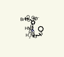 CC(N)(CN/C=C(/COc1ccc([N+](=O)[O-])c(COC(=O)C(C)(C)Br)c1)N=N)OCCC(C)(C)SC1CCCCCCC1